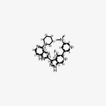 CN(C)c1cncc(-c2ncc3[nH]nc(-c4nc5c(N6CCCCC6)nccc5[nH]4)c3c2F)c1